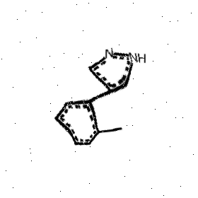 Cc1ccccc1-c1cn[nH]c1